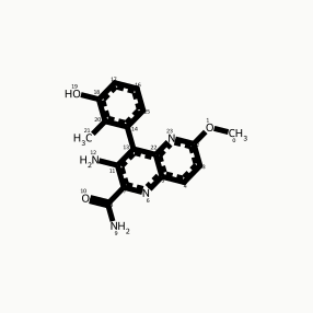 COc1ccc2nc(C(N)=O)c(N)c(-c3cccc(O)c3C)c2n1